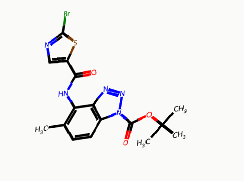 Cc1ccc2c(nnn2C(=O)OC(C)(C)C)c1NC(=O)c1cnc(Br)s1